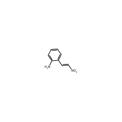 Nc1ccccc1C=C[N+](=O)[O-]